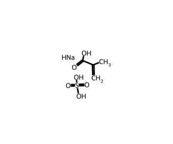 C=C(C)C(=O)O.O=S(=O)(O)O.[NaH]